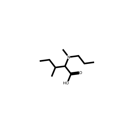 CCCN(C)C(C(=O)O)C(C)CC